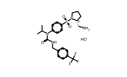 CC(C)N(C(=O)NCc1ccc(C(F)(F)F)cc1)c1ccc(S(=O)(=O)N2CCC[C@@H]2CN)cc1.Cl